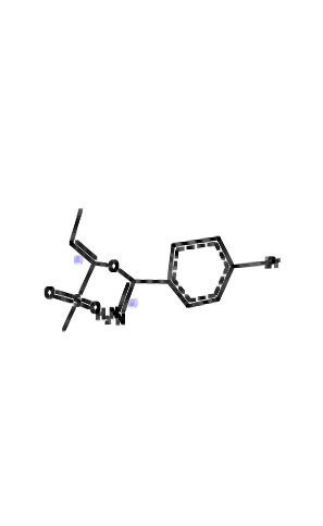 C/C=C(\O/C(=N\N)c1ccc(C(C)C)cc1)S(C)(=O)=O